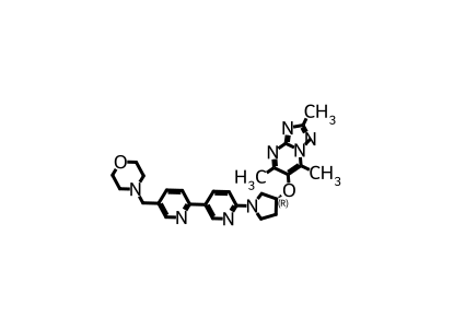 Cc1nc2nc(C)c(O[C@@H]3CCN(c4ccc(-c5ccc(CN6CCOCC6)cn5)cn4)C3)c(C)n2n1